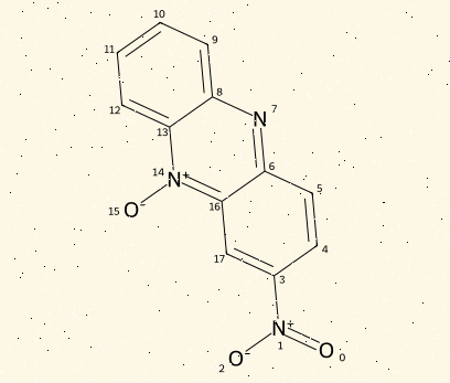 O=[N+]([O-])c1ccc2nc3ccccc3[n+]([O-])c2c1